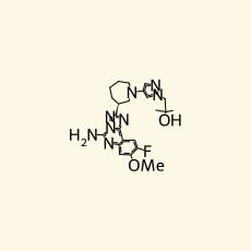 COc1cc2nc(N)n3nc([C@H]4CCCCN(c5cnn(CC(C)(C)O)c5)C4)nc3c2cc1F